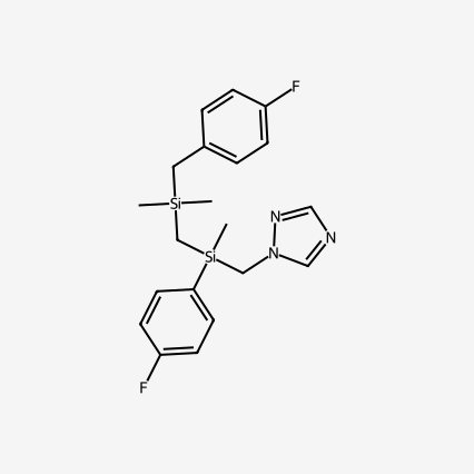 C[Si](C)(Cc1ccc(F)cc1)C[Si](C)(Cn1cncn1)c1ccc(F)cc1